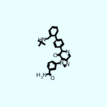 CC(C)(C)NCc1ccccc1-c1ccc(C2N=Cc3ncn(-c4cccc(C(N)=O)c4)c3C2=O)cc1